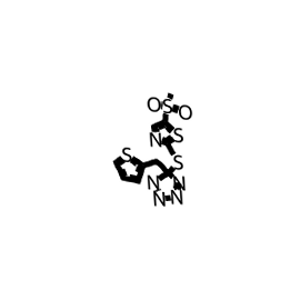 CS(=O)(=O)c1cnc(SC2(Cc3cccs3)N=NN=N2)s1